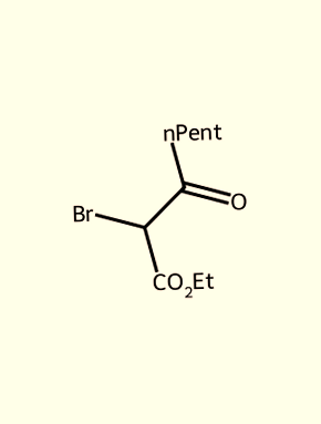 CCCCCC(=O)C(Br)C(=O)OCC